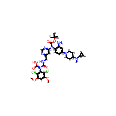 COc1cc(OC)c(Cl)c(N(C(=O)O)C(=O)NCc2cc(N(C(=O)OC(C)(C)C)c3ccc(N4CCC(N(C)C5CC5)CC4)cc3N)ncn2)c1Cl